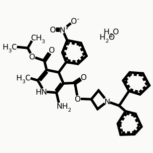 CC1=C(C(=O)OC(C)C)C(c2cccc([N+](=O)[O-])c2)C(C(=O)OC2CN(C(c3ccccc3)c3ccccc3)C2)=C(N)N1.O.O